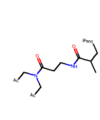 CCCC(C)CC(C)C(=O)NCCC(=O)N(CC(C)=O)CC(C)=O